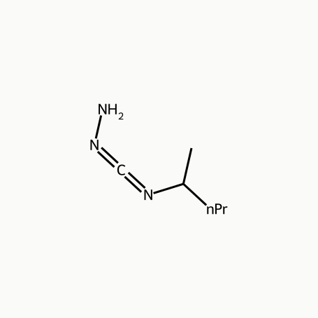 CCCC(C)N=C=NN